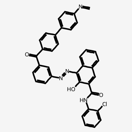 C=Nc1ccc(-c2ccc(C(=O)c3cccc(N=Nc4c(O)c(C(=O)Nc5ccccc5Cl)cc5ccccc45)c3)cc2)cc1